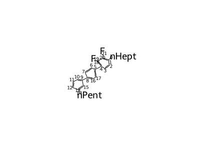 CCCCCCCc1ccc(-c2ccc(-c3cccc(CCCCC)c3)cc2)c(F)c1F